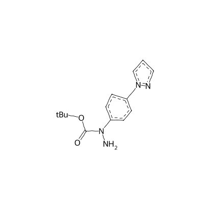 CC(C)(C)OC(=O)N(N)c1ccc(-n2cccn2)cc1